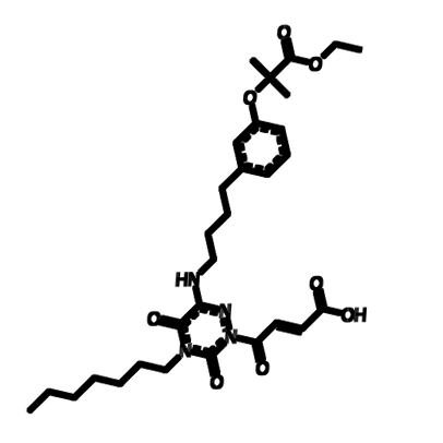 CCCCCCCn1c(=O)c(NCCCCc2cccc(OC(C)(C)C(=O)OCC)c2)nn(C(=O)C=CC(=O)O)c1=O